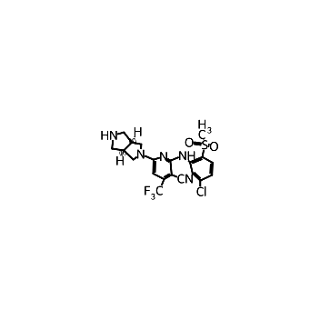 CS(=O)(=O)c1ccc(Cl)cc1Nc1nc(N2C[C@H]3CNC[C@H]3C2)cc(C(F)(F)F)c1C#N